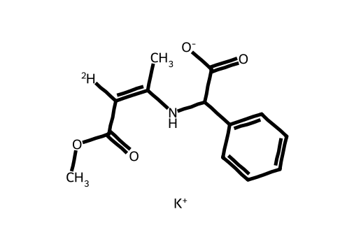 [2H]C(C(=O)OC)=C(C)NC(C(=O)[O-])c1ccccc1.[K+]